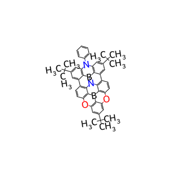 CC(C)(C)c1cc2c3c(c1)Oc1ccc4c5c1B3c1c(ccc3c1N5B1c5c-3cc(C(C)(C)C)cc5N(c3ccccc3)c3cc(C(C)(C)C)cc-4c31)O2